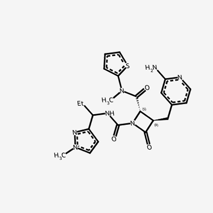 CCC(NC(=O)N1C(=O)[C@H](Cc2ccnc(N)c2)[C@H]1C(=O)N(C)c1cccs1)c1ccn(C)n1